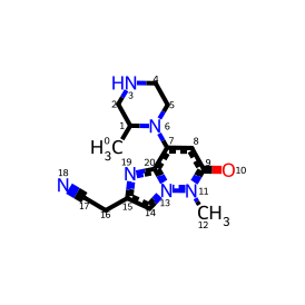 CC1CNCCN1c1cc(=O)n(C)n2cc(CC#N)nc12